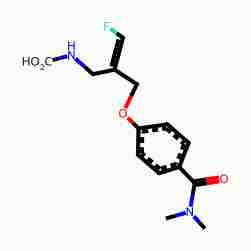 CN(C)C(=O)c1ccc(OCC(=CF)CNC(=O)O)cc1